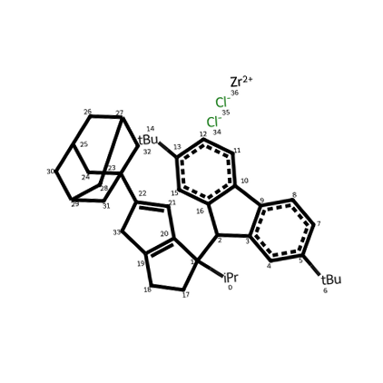 CC(C)C1(C2c3cc(C(C)(C)C)ccc3-c3ccc(C(C)(C)C)cc32)CCC2=C1C=C(C13CC4CC(CC(C4)C1)C3)C2.[Cl-].[Cl-].[Zr+2]